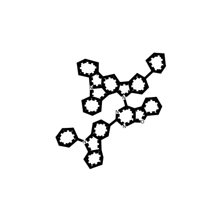 c1ccc(-c2ccc3c(c2)c2cc4c5ccccc5n5c6ccccc6c(c2n3-c2nc(-c3ccc6c(c3)c3ccccc3n6-c3ccccc3)nc3oc6ccccc6c23)c45)cc1